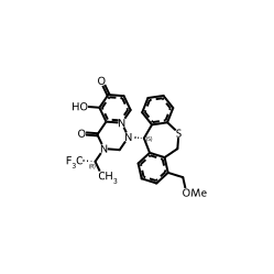 COCc1cccc2c1CSc1ccccc1[C@H]2N1CN([C@H](C)C(F)(F)F)C(=O)c2c(O)c(=O)ccn21